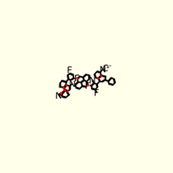 [C-]#[N+]c1ccc(N(c2c(F)cc(F)cc2-c2cccc(-c3ccccc3)c2)c2ccc3ccc4c(N(c5ccc(C#N)cc5)c5c(F)cc(F)cc5-c5cccc(-c6ccccc6)c5)ccc5ccc2c3c54)cc1